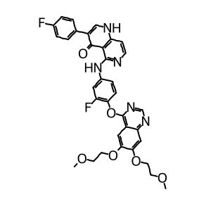 COCCOc1cc2ncnc(Oc3ccc(Nc4nccc5[nH]cc(-c6ccc(F)cc6)c(=O)c45)cc3F)c2cc1OCCOC